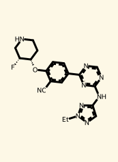 CCn1ncc(Nc2ncnc(-c3ccc(O[C@H]4CCNC[C@H]4F)c(C#N)c3)n2)n1